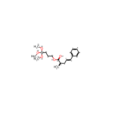 C=C(CC=Cc1ccccc1)C(=O)OCCC[Si](OC)(OC)OC